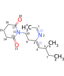 C/C=N\C(=C/C(C)CC)CCN1C(=O)CCCC1=O